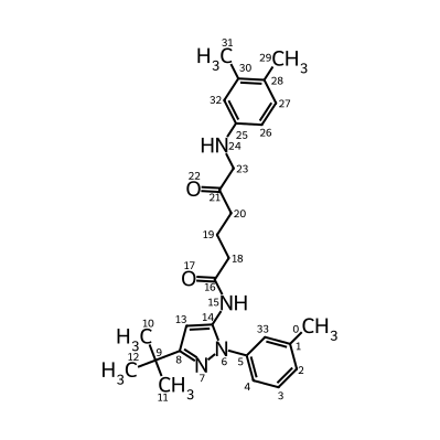 Cc1cccc(-n2nc(C(C)(C)C)cc2NC(=O)CCCC(=O)CNc2ccc(C)c(C)c2)c1